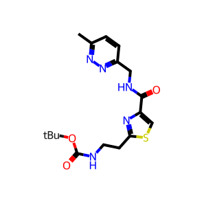 Cc1ccc(CNC(=O)c2csc(CCNC(=O)OC(C)(C)C)n2)nn1